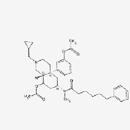 CC(=O)Oc1cccc([C@@]23CCN(CC4CC4)C[C@H]2C(OC(C)=O)C[C@@H](N(C)C(=O)CCCCCc2ccccc2)C3)c1